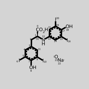 O=C(O)[C@H](Cc1cc(I)c(O)c(I)c1)Nc1cc(I)c(O)c(I)c1.[Na].[O]